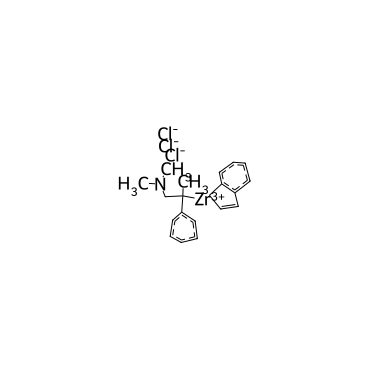 CN(C)C[C](C)([Zr+3][CH]1C=Cc2ccccc21)c1ccccc1.[Cl-].[Cl-].[Cl-]